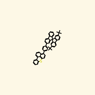 CC(C)(C)c1ccc2c(c1)C1(c3ccccc3-c3ccc(-c4ccc(-c5ccc6c7c(cccc57)-c5ccccc5S6)cc4)cc31)c1cc(C(C)(C)C)ccc1-2